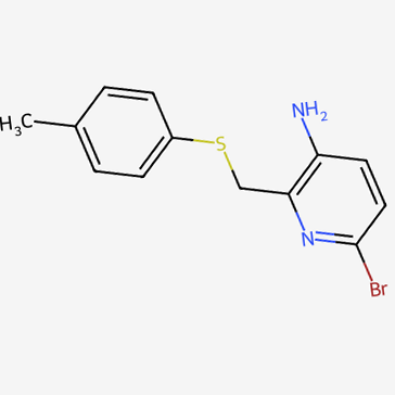 Cc1ccc(SCc2nc(Br)ccc2N)cc1